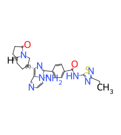 CCc1nsc(NC(=O)c2ccc(C3=NC([C@@H]4CC[C@H]5CCC(=O)N5C4)=C4C=NC=C[N+]34N)cc2)n1